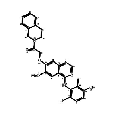 COc1cc2c(Nc3c(F)ccc(O)c3C)ncnc2cc1OCC(=O)N1CCc2ccccc2C1